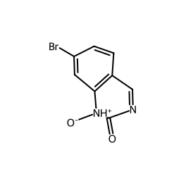 O=C1N=Cc2ccc(Br)cc2[NH+]1[O-]